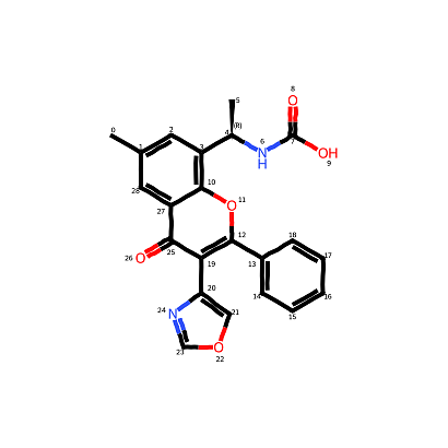 Cc1cc([C@@H](C)NC(=O)O)c2oc(-c3ccccc3)c(-c3cocn3)c(=O)c2c1